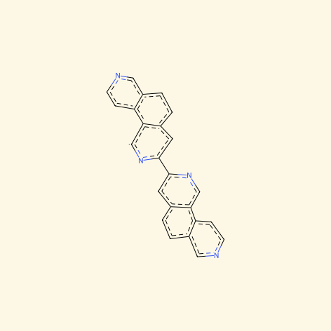 [c]1nc(-c2cc3ccc4cnccc4c3cn2)cc2ccc3cnccc3c12